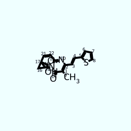 Cc1c(/C=C/c2cccs2)nc2n(c1=O)C1CC1(C(=O)O)C=C2